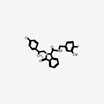 CC(CN1C(=O)c2ccccc2C1C(=O)NCc1ccc(F)c(C#N)c1)c1ccc(Cl)cc1